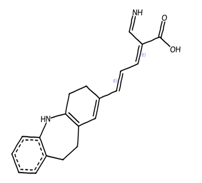 N=C/C(=C\C=C\C1=CC2=C(CC1)Nc1ccccc1CC2)C(=O)O